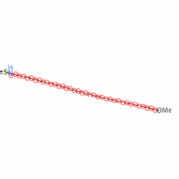 COCCOCCOCCOCCOCCOCCOCCOCCOCCOCCOCCOCCOCCOCCOCCOCCOCCOCCOCCOCCOCCOCCOCCOCCOCCOCCOCCOCCOCCOCCOCCOCCOCCOCCOCCOCCOCCC(=O)NCCSSC